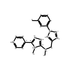 Cc1cccc(-n2nnc(CN(C)c3nnc(-c4ccncc4)n3C)n2)c1